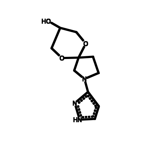 OC1COC2(CCN(c3cc[nH]n3)C2)OC1